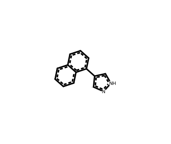 [c]1n[nH]cc1-c1cccc2ccccc12